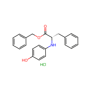 Cl.O=C(OCc1ccccc1)[C@H](Cc1ccccc1)Nc1ccc(O)cc1